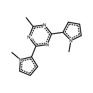 Cc1nc(-c2cccn2C)nc(-c2cccn2C)n1